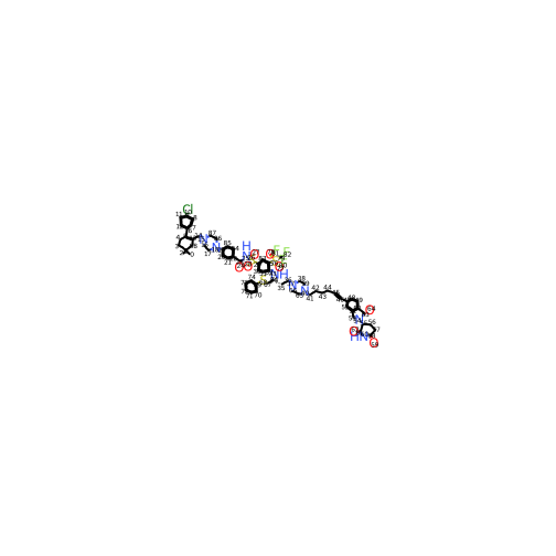 CC1(C)CCC(c2ccc(Cl)cc2)=C(CN2CCN(c3ccc(C(=O)NS(=O)(=O)c4ccc(N[C@H](CCN5CCN(CCCCC#Cc6ccc7c(c6)CN(C6CCC(=O)NC6=O)C7=O)CC5)CSc5ccccc5)c(S(=O)(=O)C(F)(F)F)c4)cc3)CC2)C1